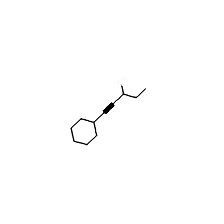 CCC(Cl)C#CC1CCCCC1